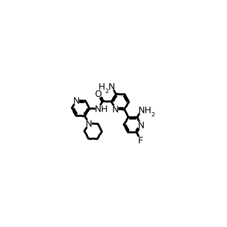 Nc1ccc(-c2ccc(F)nc2N)nc1C(=O)Nc1cnccc1N1CCCCC1